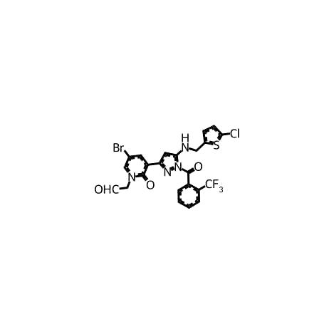 O=CCn1cc(Br)cc(-c2cc(NCc3ccc(Cl)s3)n(C(=O)c3ccccc3C(F)(F)F)n2)c1=O